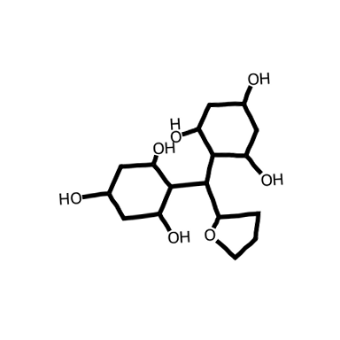 OC1CC(O)C(C(C2CCCO2)C2C(O)CC(O)CC2O)C(O)C1